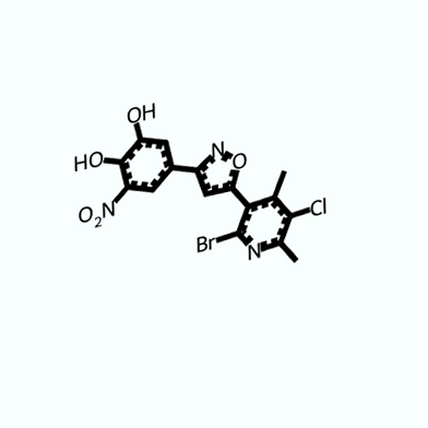 Cc1nc(Br)c(-c2cc(-c3cc(O)c(O)c([N+](=O)[O-])c3)no2)c(C)c1Cl